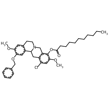 CCCCCCCCCCC(=O)Oc1c(OC)cc(Cl)c2c1CN1CCc3cc(OC)c(OCc4ccccc4)cc3C1C2